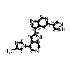 Cc1cn(-c2cncc3[nH]c(-c4n[nH]c5cnc(-c6cn[nH]c6)cc45)cc23)cn1